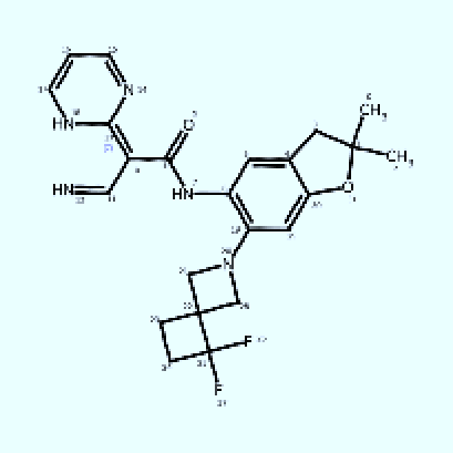 CC1(C)Cc2cc(NC(=O)/C(C=N)=C3\N=CC=CN3)c(N3CC4(CCC4(F)F)C3)cc2O1